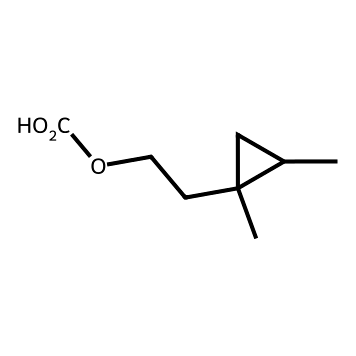 CC1CC1(C)CCOC(=O)O